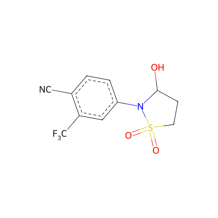 N#Cc1ccc(N2C(O)CCS2(=O)=O)cc1C(F)(F)F